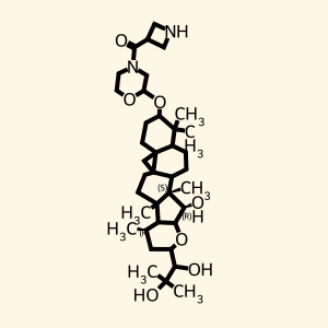 C[C@@H]1CC(C(O)C(C)(C)O)OC2C1C1(C)CCC34CC35CCC(OC3CN(C(=O)C6CNC6)CCO3)C(C)(C)C5CCC4[C@]1(C)[C@H]2O